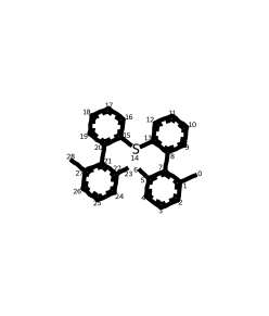 Cc1cccc(C)c1-c1ccccc1Sc1ccccc1-c1c(C)cccc1C